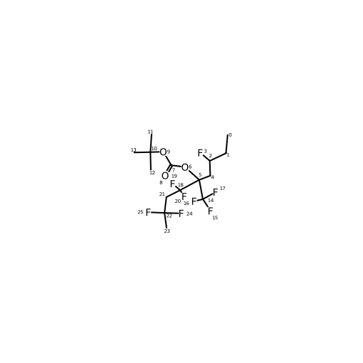 CCC(F)CC(OC(=O)OC(C)(C)C)(C(F)(F)F)C(F)(F)CC(C)(F)F